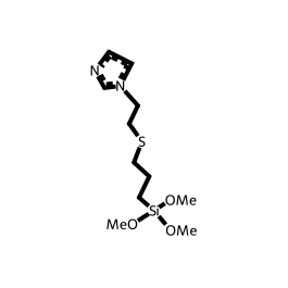 CO[Si](CCCSCCn1ccnc1)(OC)OC